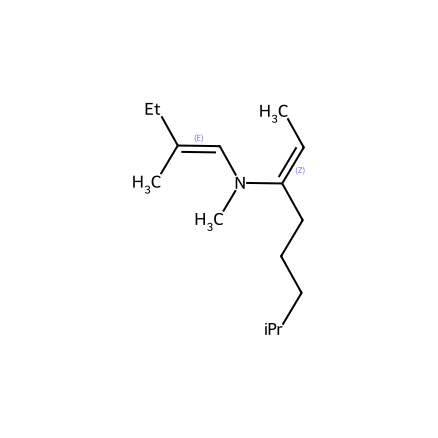 C/C=C(/CCCC(C)C)N(C)/C=C(\C)CC